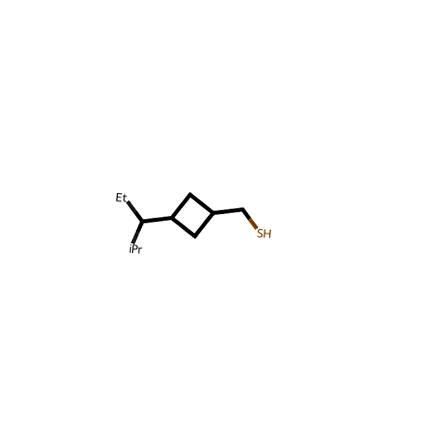 CCC(C(C)C)C1CC(CS)C1